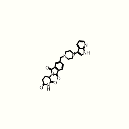 O=C1CCC(N2C(=O)c3ccc(CN4CCN(c5c[nH]c6ncccc56)CC4)cc3C2=O)C(=O)N1